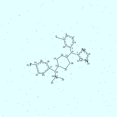 Cc1cccc(C(c2ncno2)C2CCC(C(c3ccc(F)cc3)N(C)C)CC2)c1